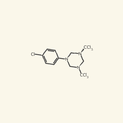 Clc1ccc(N2CN(C(Cl)(Cl)Cl)CN(C(Cl)(Cl)Cl)C2)cc1